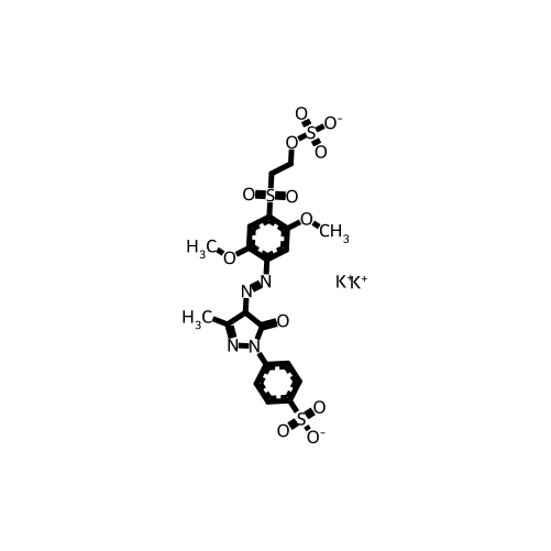 COc1cc(S(=O)(=O)CCOS(=O)(=O)[O-])c(OC)cc1/N=N/C1C(=O)N(c2ccc(S(=O)(=O)[O-])cc2)N=C1C.[K+].[K+]